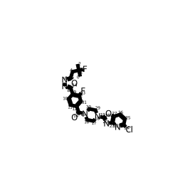 CC(C)(F)Cc1nnc(-c2ccc(C(=O)N3CCN(c4nc5nc(Cl)ccc5o4)CC3)cc2F)o1